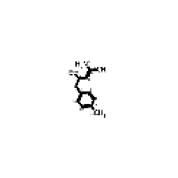 CCC(/C=C(/C)N)Cc1ccc(C)cc1